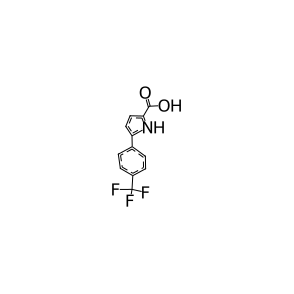 O=C(O)c1ccc(-c2ccc(C(F)(F)F)cc2)[nH]1